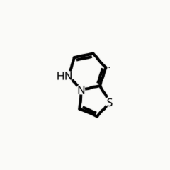 [C]1=C2SC=CN2NC=C1